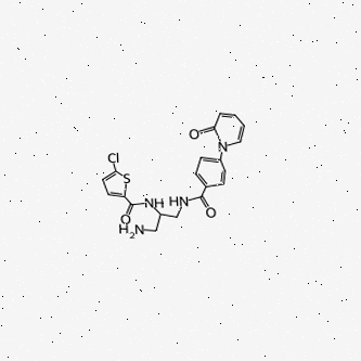 NCC(CNC(=O)c1ccc(-n2ccccc2=O)cc1)NC(=O)c1ccc(Cl)s1